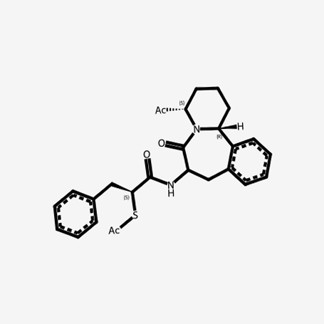 CC(=O)S[C@@H](Cc1ccccc1)C(=O)NC1Cc2ccccc2[C@H]2CCC[C@@H](C(C)=O)N2C1=O